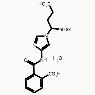 CCCCCCC(CCC(=O)O)n1cnc(NC(=O)c2ccccc2C(=O)O)c1.O